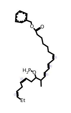 CC/C=C\C/C=C\CC(OP)C(C)/C=C/C=C/C=C\CCCCCC(=O)OCc1ccccc1